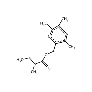 CCN(C)C(=O)OCc1nc(C)c(C)nc1C